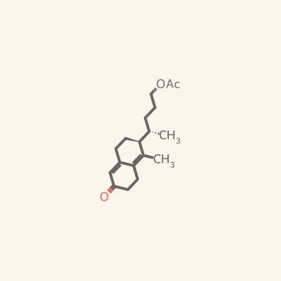 CC(=O)OCCC[C@H](C)[C@@H]1CCC2=CC(=O)CCC2=C1C